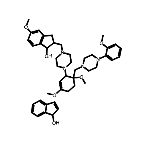 COC1=CC(N2CCN(CC3Cc4cc(OC)ccc4C3O)CC2)C(CN2CCN(c3ccccc3OC)CC2)(OC)CC1.OC1C=Cc2ccccc21